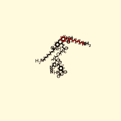 CN(CCOCCN(C)C(=O)[C@@H]1CC(N=[N+]=[N-])CN1C(=O)c1ccc2c(=O)oc(=O)[nH]c2c1)C(=O)CCC12c3cc(NC(=O)CCCCCCCN)ccc3C(c3ccc(NC(=O)CCCCCCCN)cc31)c1ccc(NC(=O)CCCCCCCN)cc12